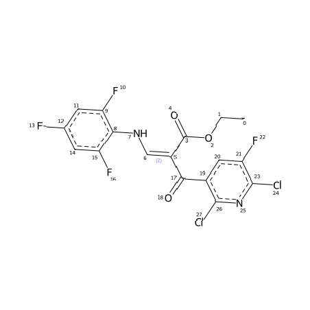 CCOC(=O)/C(=C\Nc1c(F)cc(F)cc1F)C(=O)c1cc(F)c(Cl)nc1Cl